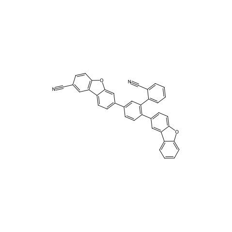 N#Cc1ccc2oc3cc(-c4ccc(-c5ccc6oc7ccccc7c6c5)c(-c5ccccc5C#N)c4)ccc3c2c1